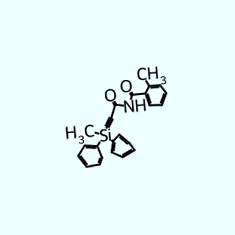 Cc1ccccc1C(=O)NC(=O)C#C[Si](C)(c1ccccc1)c1ccccc1